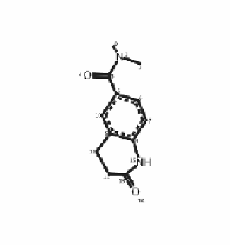 CN(C)C(=O)c1ccc2c(c1)CCC(=O)N2